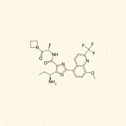 CC[C@H](N)c1oc(-c2ccc(OC)c3nc(C(F)(F)F)ccc23)nc1C(=O)N[C@H](C)C(=O)N1CCC1